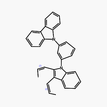 C/C=C\c1c(/C=C\C)n(-c2cccc(-n3c4ccccc4c4ccccc43)c2)c2ccccc12